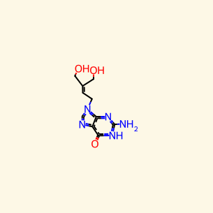 Nc1nc2c(ncn2CC=C(CO)CO)c(=O)[nH]1